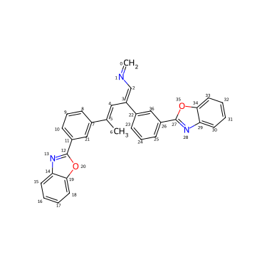 C=N/C=C(\C=C(/C)c1cccc(-c2nc3ccccc3o2)c1)c1cccc(-c2nc3ccccc3o2)c1